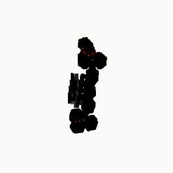 CC1(C)c2cc(N(c3ccccc3)c3ccccc3-c3ccccc3)ccc2-c2sc3c(c21)C(C)(C)c1cc(N(c2ccccc2-c2ccccc2)c2cccc4c2oc2ccccc24)ccc1-3